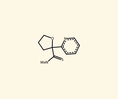 CNC(=S)C1(c2ccccn2)CCCO1